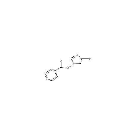 O=C1C=CC(OC(=O)c2ccccc2)C1